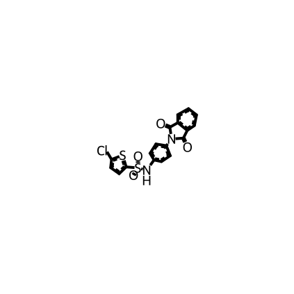 O=C1c2ccccc2C(=O)N1c1ccc(NS(=O)(=O)c2ccc(Cl)s2)cc1